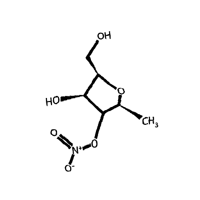 C[C@@H]1O[C@H](CO)[C@H](O)C1O[N+](=O)[O-]